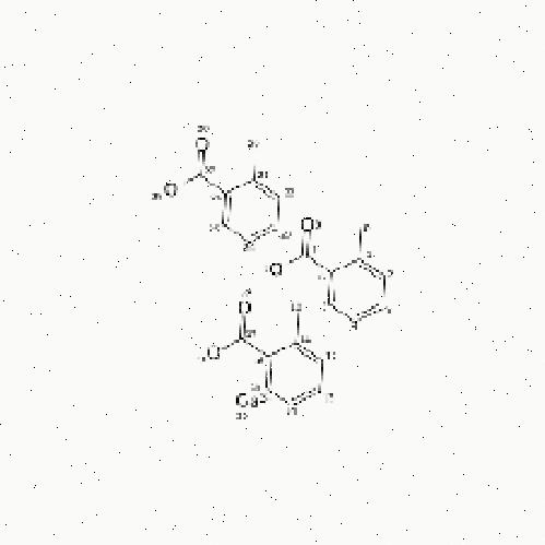 Cc1ccccc1C(=O)[O-].Cc1ccccc1C(=O)[O-].Cc1ccccc1C(=O)[O-].[Ga+3]